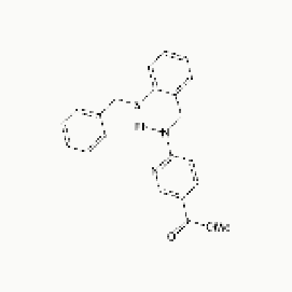 CCN(Cc1ccccc1SCc1ccccc1)c1ccc(C(=O)OC)cn1